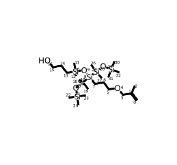 C=C(C)COCCC[Si](O[Si](C)(C)CCCO)([Si](C)(C)O[Si](C)(C)C)[Si](C)(C)O[Si](C)(C)C